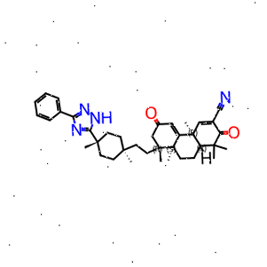 CC1(C)C(=O)C(C#N)=C[C@]2(C)C3=CC(=O)C[C@@](C)(CC[C@]4(C)CC[C@@](C)(c5nc(-c6ccccc6)n[nH]5)CC4)[C@]3(C)CC[C@@H]12